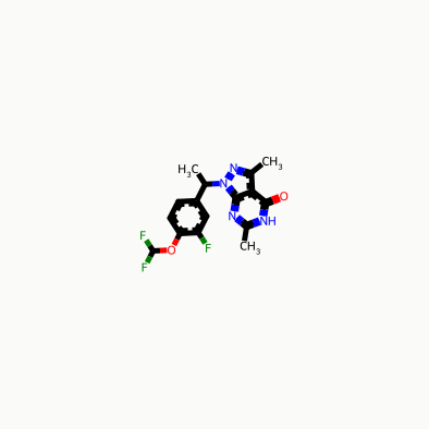 Cc1nc2c(c(C)nn2C(C)c2ccc(OC(F)F)c(F)c2)c(=O)[nH]1